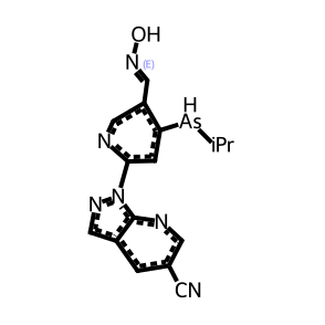 CC(C)[AsH]c1cc(-n2ncc3cc(C#N)cnc32)ncc1/C=N/O